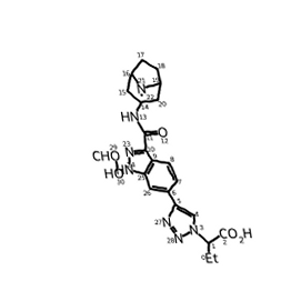 CCC(C(=O)O)n1cc(-c2ccc3c(C(=O)NC4CC5CCC(C4)N5C)n[nH]c3c2)nn1.O=CO